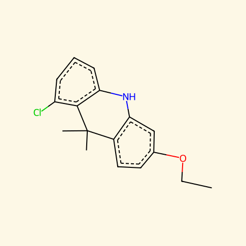 CCOc1ccc2c(c1)Nc1cccc(Cl)c1C2(C)C